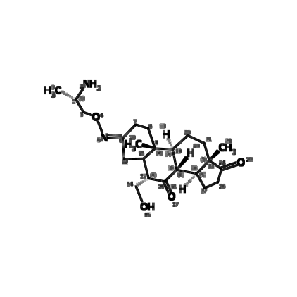 C[C@H](N)CON=C1CC[C@@]2(C)C(C1)[C@@H](CO)C(=O)[C@@H]1[C@@H]2CC[C@]2(C)C(=O)CC[C@@H]12